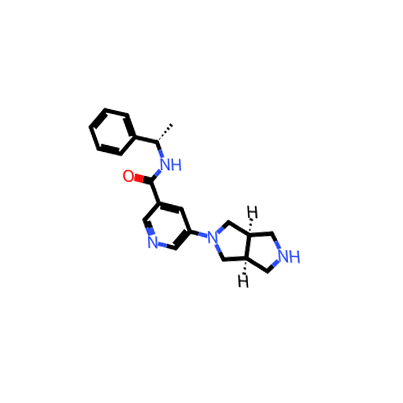 C[C@H](NC(=O)c1cncc(N2C[C@H]3CNC[C@H]3C2)c1)c1ccccc1